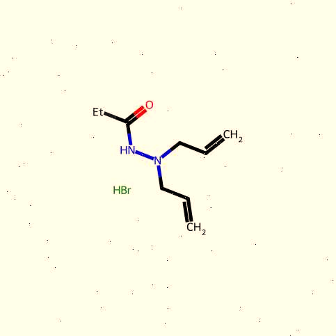 Br.C=CCN(CC=C)NC(=O)CC